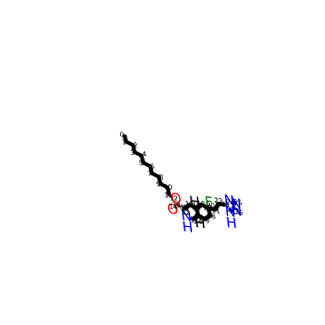 CCCCCCCCCCCCOC(=O)[C@@H]1C[C@H]2C[C@@](F)(CCc3nnn[nH]3)CC[C@H]2CN1